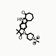 CC1(C)C(=O)N(C2CCN(S(C)(=O)=O)CC2)c2cc3c4c([nH]c3cc21)C(=O)CCCC4